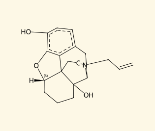 C=CCN1CCC23c4c5ccc(O)c4O[C@H]2CCCC3(O)C1C5